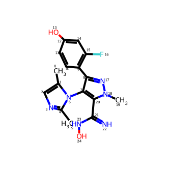 Cc1cnc(C)n1-c1c(-c2ccc(O)cc2F)nn(C)c1C(=N)NO